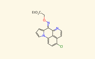 CCOC(=O)CO/N=c1/c2nccc3c(Cl)ccc(c32)n2cccc12